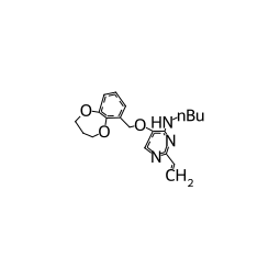 C=Cc1ncc(OCc2cccc3c2OCCCO3)c(NCCCC)n1